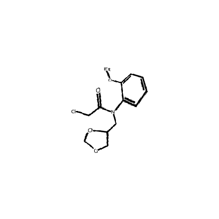 CCOc1ccccc1N(CC1COCO1)C(=O)CCl